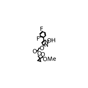 COC(=O)C1(COC(=O)COc2cc(-c3ccc(F)cc3F)n(O)n2)CC1